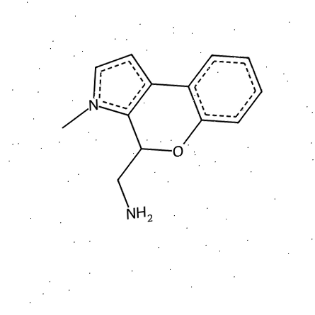 Cn1ccc2c1C(CN)Oc1ccccc1-2